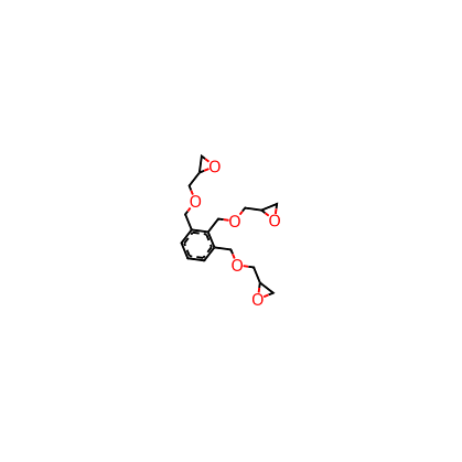 c1cc(COCC2CO2)c(COCC2CO2)c(COCC2CO2)c1